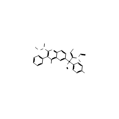 C=CN(C)/C(=C\C)C(N=O)(c1ccc(Cl)cc1)c1ccc2nc(N(C)OC)c(-c3ccccc3)c(Cl)c2c1